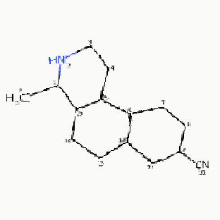 CC1NCCC2C3CCC(C#N)CC3CCC12